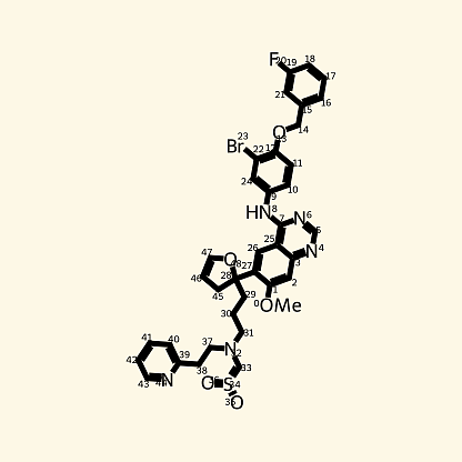 COc1cc2ncnc(Nc3ccc(OCc4cccc(F)c4)c(Br)c3)c2cc1C1(CCCN(C=S(=O)=O)CCc2ccccn2)CC=CO1